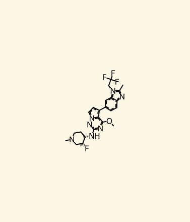 COc1nc(N[C@H]2CCN(C)C[C@H]2F)nn2ccc(-c3ccc4nc(C)n(CC(F)(F)F)c4c3)c12